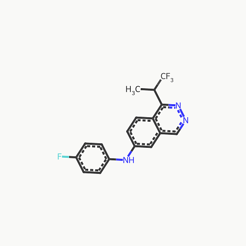 CC(c1nncc2cc(Nc3ccc(F)cc3)ccc12)C(F)(F)F